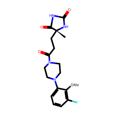 COc1c(F)cccc1N1CCN(C(=O)CC[C@@]2(C)NC(=O)NC2=O)CC1